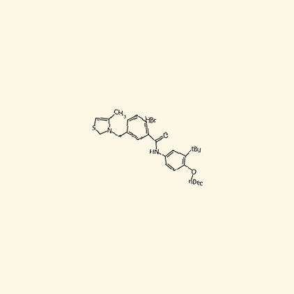 Br.CCCCCCCCCCOc1ccc(NC(=O)c2cccc(CN3CSC=C3C)c2)cc1C(C)(C)C